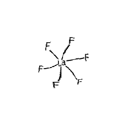 [F][La]([F])([F])([F])([F])[F]